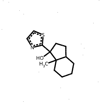 CC12CCCCC1CCC2(O)c1nccs1